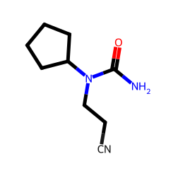 N#CCCN(C(N)=O)C1CCCC1